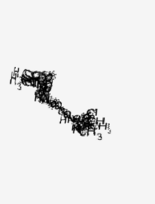 CN[C@@H](C)C(=O)N[C@H](C(=O)N1CC[C@@H]2CCN(CCc3ccc(OCCOCCOCCNC(=O)C[C@@H]4N=C(c5ccc(Cl)cc5)c5c(sc(C)c5C)-n5c(C)nnc54)cc3)C[C@@H]21)C1CCCCC1